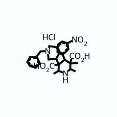 CC1NC(C)C(C(=O)O)(C2CCCN(Cc3ccccc3)C2)C(c2cccc([N+](=O)[O-])c2)C1(C)C(=O)O.Cl